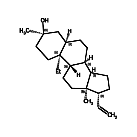 C=C[C@H]1CC[C@H]2[C@@H]3CC[C@@H]4C[C@](C)(O)CC[C@]4(CC)[C@H]3CC[C@]12C